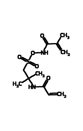 C=CC(=O)NC(C)(C)CS(=O)(=O)ONC(=O)C(=C)C